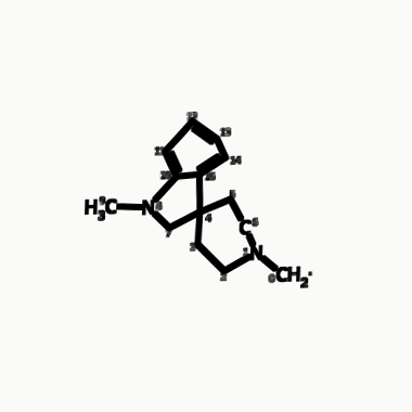 [CH2]N1CCC2(CC1)CN(C)c1ccccc12